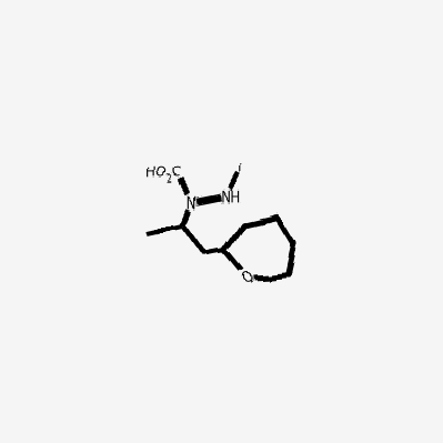 CC(CC1CCCCO1)N(NI)C(=O)O